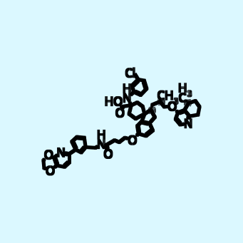 C[C@@H](COc1ccnc2c1[C@H](C)CCC2)C[C@H]1Cc2ccc(OCCCC(=O)NCc3cccc(-c4ccc5c(n4)OCCO5)c3)cc2C12CCC(Nc1cccc(Cl)c1)(C(=O)O)CC2